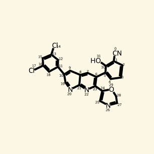 N#Cc1cccc(-c2cc3cc(-c4cc(Cl)cc(Cl)c4)cnc3nc2C2=CN=CCO2)c1O